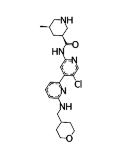 C[C@H]1CNC[C@@H](C(=O)Nc2cc(-c3cccc(NCC4CCOCC4)n3)c(Cl)cn2)C1